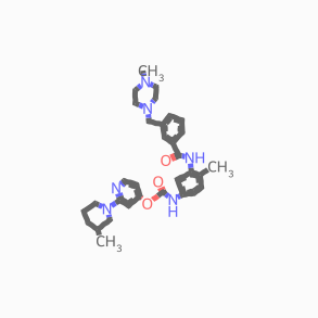 Cc1ccc(NC(=O)Oc2ccnc(N3CCCC(C)C3)c2)cc1NC(=O)c1cccc(CN2CCN(C)CC2)c1